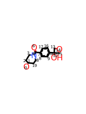 O=C1CCN(C(=O)c2ccc(C3(O)COC3)cc2)CC1